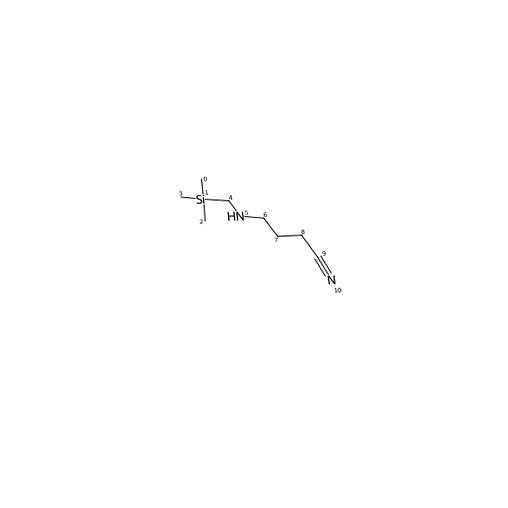 C[Si](C)(C)CNCCCC#N